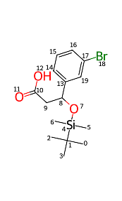 CC(C)(C)[Si](C)(C)OC(CC(=O)O)c1cccc(Br)c1